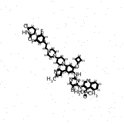 Cn1cc(-c2cc(Nc3ncc(Br)c(Nc4cnc5ccccc5c4P(C)(C)=O)n3)c(OC3CCC3)cc2N2CCC(N3CCN(CCc4cc(F)c([C@H]5CCC(=O)NC5=O)c(F)c4)CC3)CC2)cn1